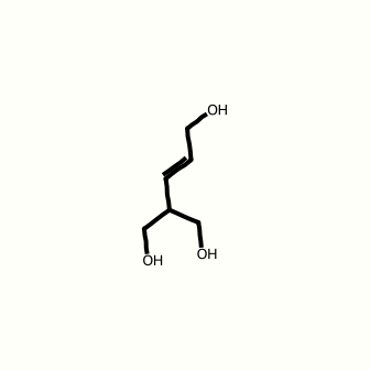 OCC=CC(CO)CO